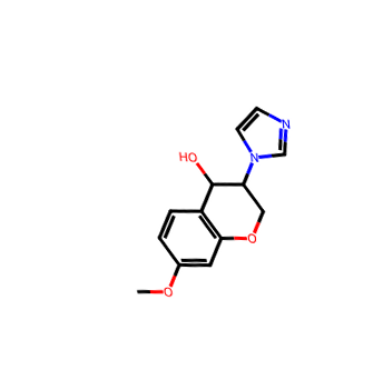 COc1ccc2c(c1)OCC(n1ccnc1)C2O